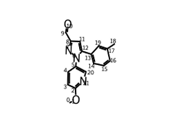 COc1ccc(-n2nc(C=O)cc2-c2cccc(C)c2)cn1